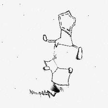 [N-]=[N+]=N[C@@H]1COC2C1OC[C@@H]2N1C(=O)c2ccccc2C1=O